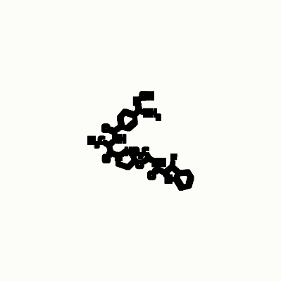 CC(NC(=O)c1ccc(/C(N)=N/O)cc1)C(=O)N1CCC(OC(NC(=O)C2=Nc3ccccc3C2F)C(=O)O)CC1